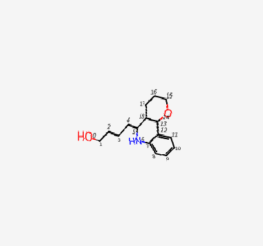 OCCCCC1Nc2ccccc2C2OCCCC12